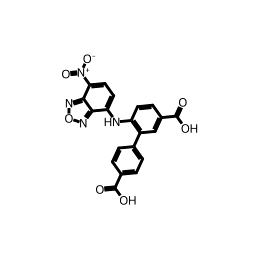 O=C(O)c1ccc(-c2cc(C(=O)O)ccc2Nc2ccc([N+](=O)[O-])c3nonc23)cc1